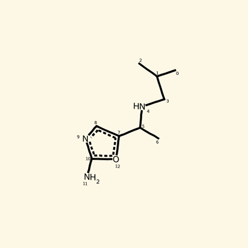 CC(C)CNC(C)c1cnc(N)o1